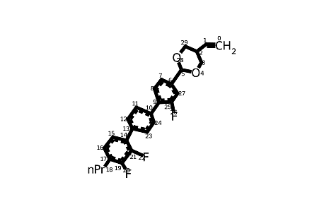 C=CC1COC(c2ccc(-c3ccc(-c4ccc(CCC)c(F)c4F)cc3)c(F)c2)OC1